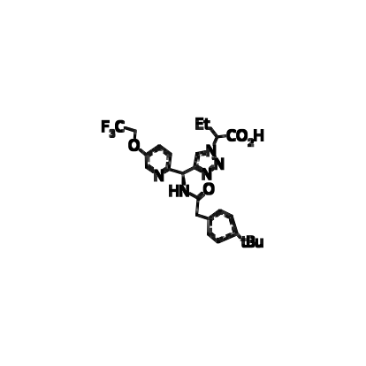 CCC(C(=O)O)n1cc([C@@H](NC(=O)Cc2ccc(C(C)(C)C)cc2)c2ccc(OCC(F)(F)F)cn2)nn1